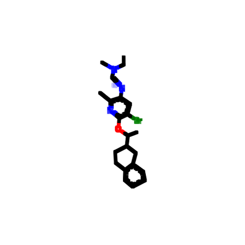 CCN(C)/C=N/c1cc(Br)c(OC(C)C2CCc3ccccc3C2)nc1C